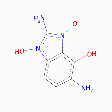 Nc1ccc2c(c1O)[n+]([O-])c(N)n2O